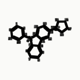 c1ccc(-n2c3ccccc3c3cc([S+]4CCCC4)ccc32)cc1